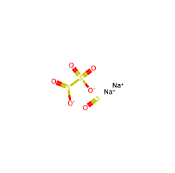 O=S.O=S([O-])S(=O)(=O)[O-].[Na+].[Na+]